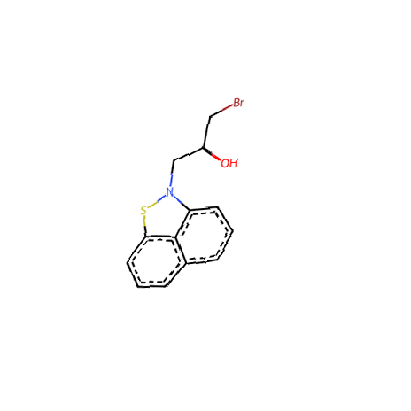 OC(CBr)CN1Sc2cccc3cccc1c23